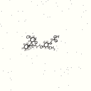 Cc1cc(OCCC(C)Oc2ncc(Cl)cc2Oc2ccccc2)ccc1SCC(=O)O